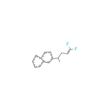 CC(CC=C(F)F)c1ccc2ccccc2c1